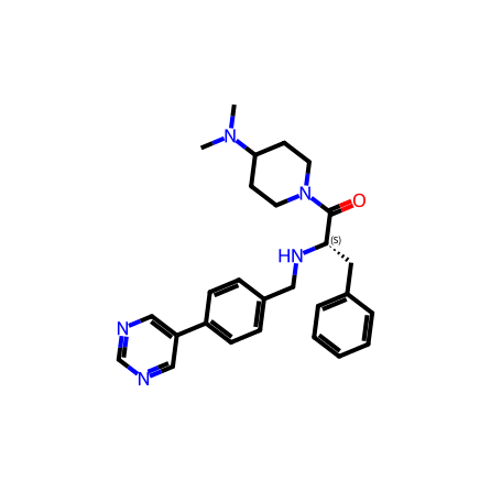 CN(C)C1CCN(C(=O)[C@H](Cc2ccccc2)NCc2ccc(-c3cncnc3)cc2)CC1